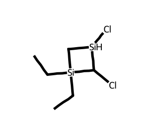 CC[Si]1(CC)C[SiH](Cl)C1Cl